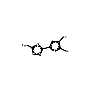 CC(C)c1cc(-c2nnc(C(F)(F)F)o2)sc1C(C)C